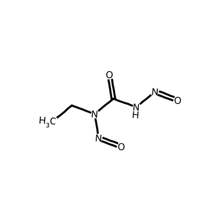 CCN(N=O)C(=O)NN=O